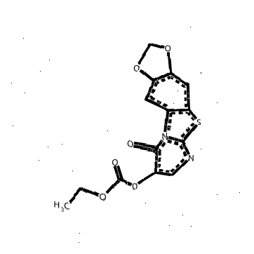 CCOC(=O)Oc1cnc2sc3cc4c(cc3n2c1=O)OCO4